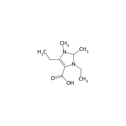 CCC1=C(C(=O)O)N(CC)C(C)N1C